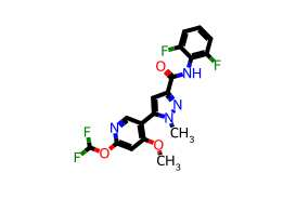 COc1cc(OC(F)F)ncc1-c1cc(C(=O)Nc2c(F)cccc2F)nn1C